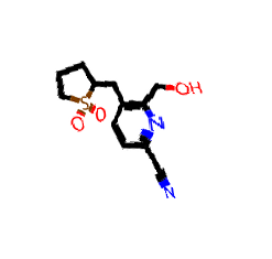 N#Cc1ccc(CC2CCCS2(=O)=O)c(CO)n1